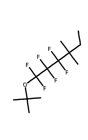 CCC(C)(C)C(F)(F)C(F)(F)C(F)(F)OC(C)(C)C